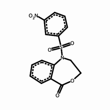 O=C1OCCN(S(=O)(=O)c2cccc([N+](=O)[O-])c2)c2ccccc21